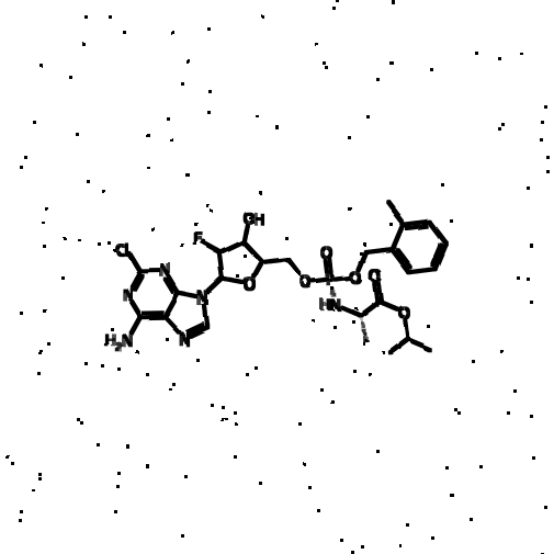 Cc1ccccc1CO[P@@](=O)(N[C@@H](C)C(=O)OC(C)C)OCC1OC(n2cnc3c(N)nc(Cl)nc32)C(F)C1O